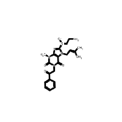 CC(C)=CCn1c([S+]([O-])CCN)nc2c1c(=O)n(CC(=O)c1ccccc1)c(=O)n2C